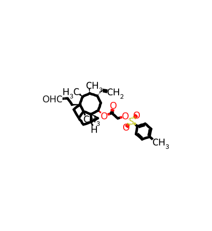 C=C[C@@H]1C[C@@H](OC(=O)COS(=O)(=O)c2ccc(C)cc2)[C@]23C[C@@H]2CC2C[C@](CCC=O)([C@@H](C)[C@@H]1C)[C@@]23C